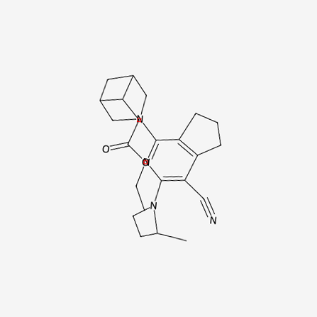 CCOC(=O)CC1C2CC1CN(c1nc(N3CCC3C)c(C#N)c3c1CCC3)C2